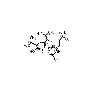 CC(=O)NC(CC[S+](C)[O-])C(=O)NC(C(=O)NC(C(=O)O)C(C)C)C(C)C